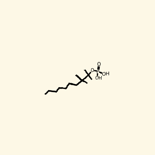 CCCCCCCC(C)(C)C(C)(C)OP(=O)(O)O